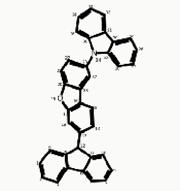 c1ccc2c(c1)-c1ccccc1C2c1ccc2c(c1)oc1ccc(-n3c4ccccc4c4ccccc43)cc12